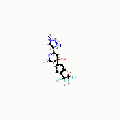 C[C@H]1C[C@@](O)(c2ccc3c(c2)OC(F)(F)C3(F)F)C[C@@H](C2=CN(C)NN2)N1